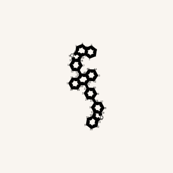 c1ccc2c(c1)ccc1oc3ccc(-c4c5ccccc5c(-c5ccc(-c6ccc7oc8ccccc8c7c6)cc5)c5ccccc45)cc3c12